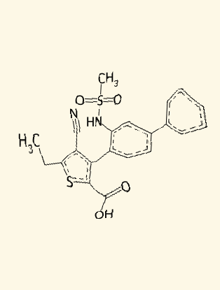 CCc1sc(C(=O)O)c(-c2ccc(-c3ccccc3)cc2NS(C)(=O)=O)c1C#N